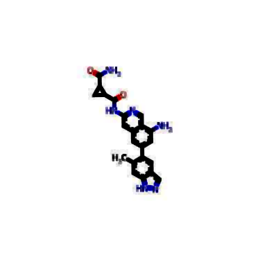 Cc1cc2[nH]ncc2cc1-c1cc(N)c2cnc(NC(=O)C3CC3C(N)=O)cc2c1